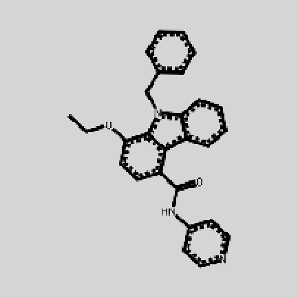 CCOc1ccc(C(=O)Nc2ccncc2)c2c3ccccc3n(Cc3ccccc3)c12